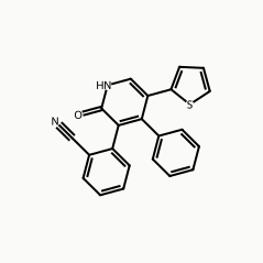 N#Cc1ccccc1-c1c(-c2ccccc2)c(-c2cccs2)c[nH]c1=O